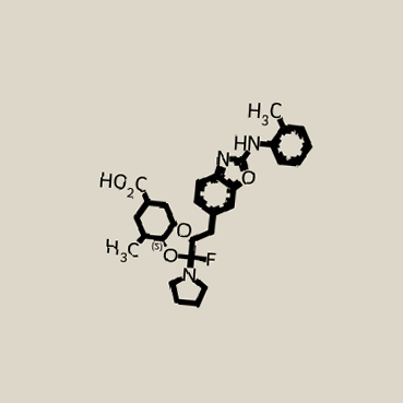 Cc1ccccc1Nc1nc2ccc(CC(=O)C(F)(O[C@H]3CCC(C(=O)O)CC3C)N3CCCC3)cc2o1